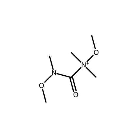 CON(C)C(=O)[N+](C)(C)OC